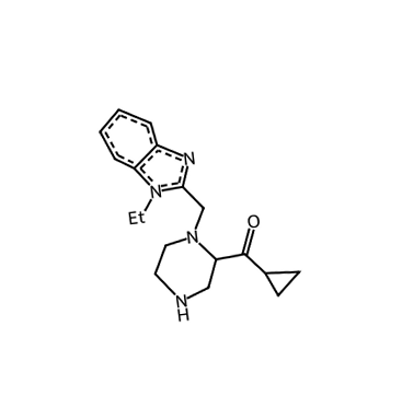 CCn1c(CN2CCNCC2C(=O)C2CC2)nc2ccccc21